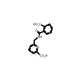 O=C(O)c1cccc(CNC(=O)c2ccccc2C(=O)O)n1